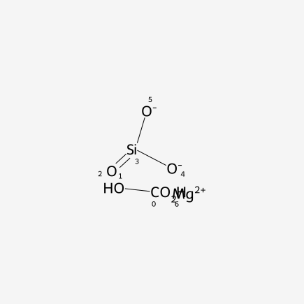 O=C(O)O.O=[Si]([O-])[O-].[Mg+2]